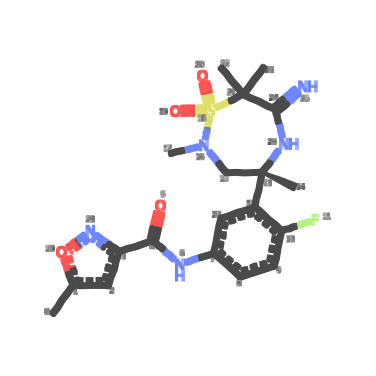 Cc1cc(C(=O)Nc2ccc(F)c([C@]3(C)CN(C)S(=O)(=O)C(C)(C)C(=N)N3)c2)no1